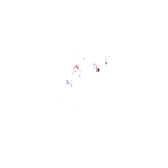 CCN1CCN(CC2C3CCC2CN(CC2(CC(C)C)CC2)C3)CC1